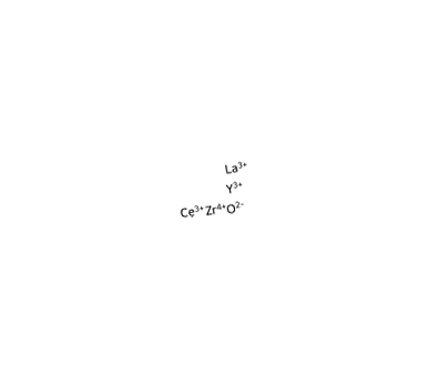 [Ce+3].[La+3].[O-2].[Y+3].[Zr+4]